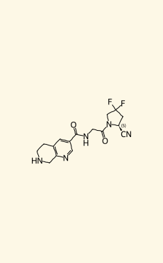 N#C[C@@H]1CC(F)(F)CN1C(=O)CNC(=O)c1cnc2c(c1)CCNC2